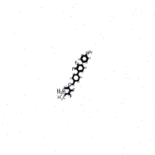 C=C(C)/C(F)=C(F)\C(=C/C)OCC1CCC(C2=CC[C@@H](c3ccc(CCC)cc3)C(F)=C2F)CC1